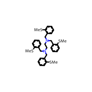 CSc1ccccc1CN(CCN(Cc1ccccc1SC)Cc1ccccc1SC)Cc1ccccc1SC